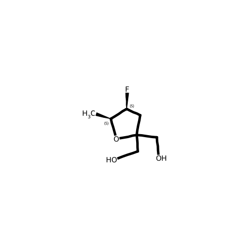 C[C@@H]1OC(CO)(CO)C[C@@H]1F